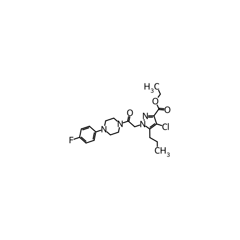 CCCc1c(Cl)c(C(=O)OCC)nn1CC(=O)N1CCN(c2ccc(F)cc2)CC1